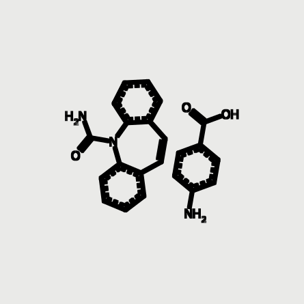 NC(=O)N1c2ccccc2C=Cc2ccccc21.Nc1ccc(C(=O)O)cc1